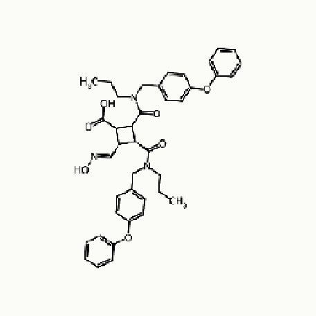 CCCN(Cc1ccc(Oc2ccccc2)cc1)C(=O)C1C(C(=O)O)[C@H](C=NO)[C@@H]1C(=O)N(CCC)Cc1ccc(Oc2ccccc2)cc1